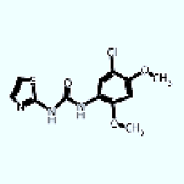 COc1cc(OC)c(NC(=O)Nc2nccs2)cc1Cl